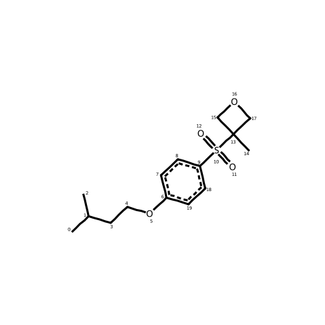 CC(C)CCOc1ccc(S(=O)(=O)C2(C)COC2)cc1